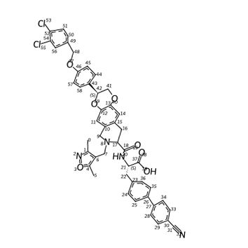 Cc1noc(C)c1CN1Cc2cc3c(cc2CC1C(=O)N[C@@H](Cc1ccc(-c2ccc(C#N)cc2)cc1)C(=O)O)OC[C@H](c1ccc(OCc2ccc(Cl)c(Cl)c2)cc1)O3